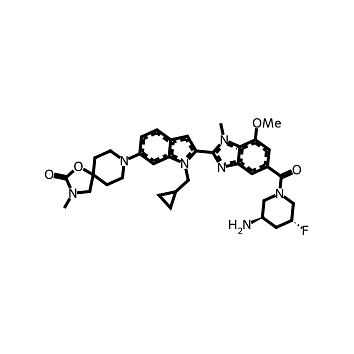 COc1cc(C(=O)N2C[C@H](N)C[C@@H](F)C2)cc2nc(-c3cc4ccc(N5CCC6(CC5)CN(C)C(=O)O6)cc4n3CC3CC3)n(C)c12